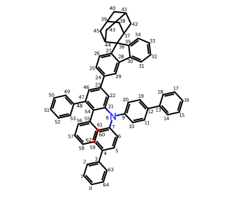 c1ccc(-c2ccc(N(c3ccc(-c4ccccc4)cc3)c3cc(-c4ccc5c(c4)-c4ccccc4C54C5CC6CC(C5)CC4C6)cc(-c4ccccc4)c3-c3ccccc3)cc2)cc1